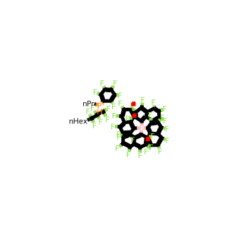 CCCCCCC(F)(F)C(F)(F)C(F)(F)[PH+](CCC)c1c(F)c(F)c(F)c(F)c1F.Fc1cc2c([B-](c3c(F)c(F)c(F)c4c(F)c(F)c(F)cc34)(c3c(F)c(F)c(F)c4c(F)c(F)c(F)cc34)c3c(F)c(F)c(F)c4c(F)c(F)c(F)cc34)c(F)c(F)c(F)c2c(F)c1F